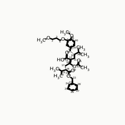 COCCCOc1cc(C[C@@H](CC(C(=O)O)=C(C[C@H](C(=O)OCc2ccccc2)C(C)C)OC(C)=O)C(C)C)ccc1OC